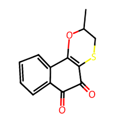 CC1CSC2=C(O1)c1ccccc1C(=O)C2=O